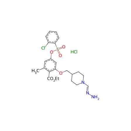 CCOC(=O)c1c(C)cc(OS(=O)(=O)c2ccccc2Cl)cc1OCC1CCN(C=NN)CC1.Cl